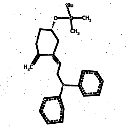 C=C1CC[C@H](O[Si](C)(C)C(C)(C)C)C/C1=C/CP(c1ccccc1)c1ccccc1